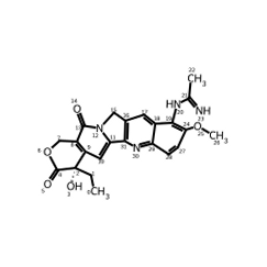 CC[C@@]1(O)C(=O)OCc2c1cc1n(c2=O)Cc2cc3c(NC(C)=N)c(OC)ccc3nc2-1